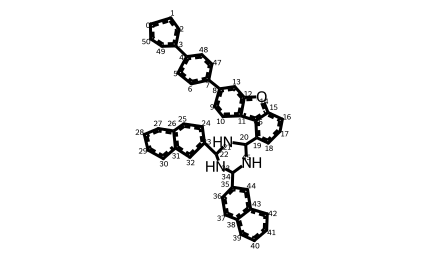 c1ccc(-c2ccc(-c3ccc4c(c3)oc3cccc(C5NC(c6ccc7ccccc7c6)NC(c6ccc7ccccc7c6)N5)c34)cc2)cc1